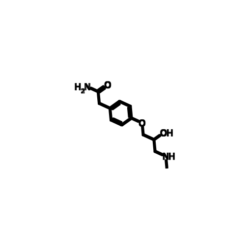 CNCC(O)COc1ccc(CC(N)=O)cc1